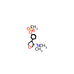 CN(C)C[C@@H]1COCC[C@H]1c1cccc(OS(C)(=O)=O)c1